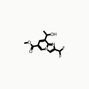 COC(=O)c1cc(C(C)O)c2nc(C(F)F)cn2c1